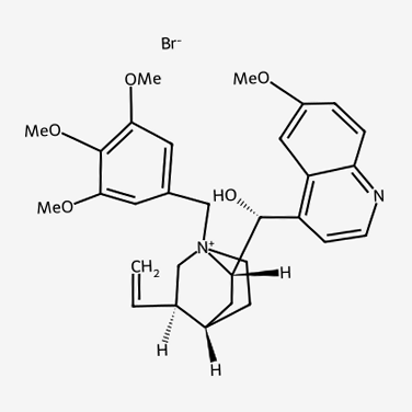 C=C[C@H]1C[N+]2(Cc3cc(OC)c(OC)c(OC)c3)CC[C@H]1C[C@H]2[C@H](O)c1ccnc2ccc(OC)cc12.[Br-]